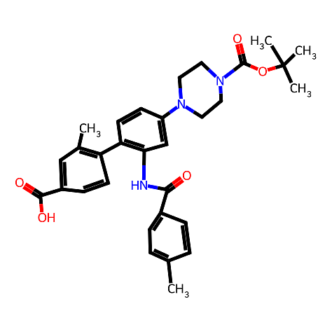 Cc1ccc(C(=O)Nc2cc(N3CCN(C(=O)OC(C)(C)C)CC3)ccc2-c2ccc(C(=O)O)cc2C)cc1